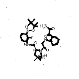 CC1(C)OB(c2cccc(NC(=O)[C@@H]3C[C@@]4(C)C[C@H]4N3C(=O)Cn3nc(C(N)=O)c4ccccc43)c2F)OC1(C)C